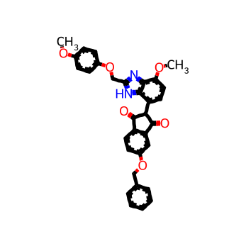 COc1ccc(OCc2nc3c(OC)ccc(C4C(=O)c5ccc(OCc6ccccc6)cc5C4=O)c3[nH]2)cc1